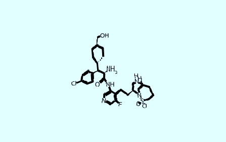 N[C@H](C(=O)Nc1cncc(F)c1CC[C@H]1CN[C@@H]2CCCS(=O)(=O)N1C2)[C@@H](c1ccc(Cl)cc1)[C@H]1CC[C@H](CO)CC1